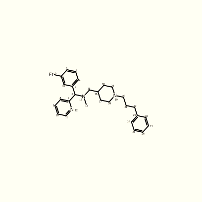 CCc1cccc(C(c2ccccn2)N(C)CC2CCN(CCCc3ccccc3)CC2)c1